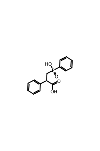 O=C(O)C(CP(=O)(O)c1ccccc1)c1ccccc1